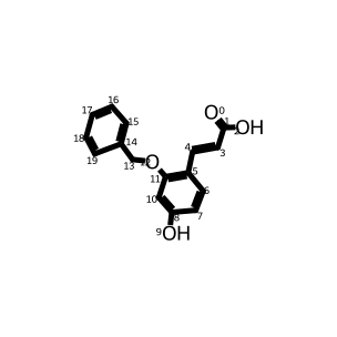 O=C(O)C=Cc1ccc(O)cc1OCc1ccccc1